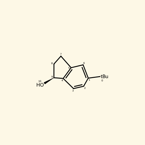 CC(C)(C)c1ccc2c(c1)CC[C@@H]2O